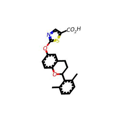 Cc1cccc(C)c1C1CCc2cc(Oc3ncc(C(=O)O)s3)ccc2O1